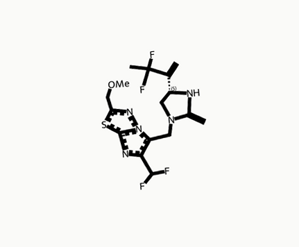 C=C1N[C@@H](C(=C)C(C)(F)F)CN1Cc1c(C(F)F)nc2sc(COC)nn12